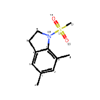 Cc1cc(C)c2c(c1)CCN2S(C)(=O)=O